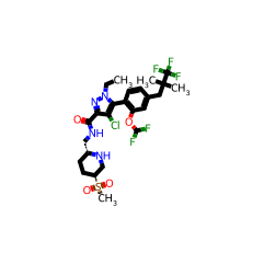 CCn1nc(C(=O)NC[C@H]2CC[C@@H](S(C)(=O)=O)CN2)c(Cl)c1-c1ccc(CC(C)(C)C(F)(F)F)cc1OC(F)F